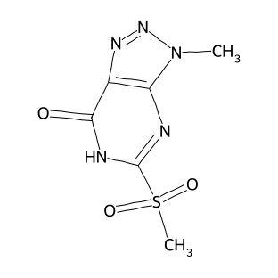 Cn1nnc2c(=O)[nH]c(S(C)(=O)=O)nc21